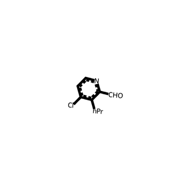 CCCc1c(Cl)ccnc1C=O